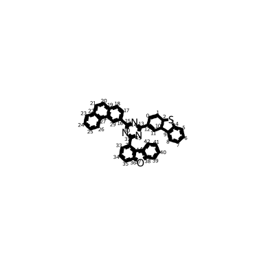 C1=CC2Sc3ccccc3C2C=C1c1nc(-c2ccc3ccc4ccccc4c3c2)nc(-c2cccc3oc4ccccc4c23)n1